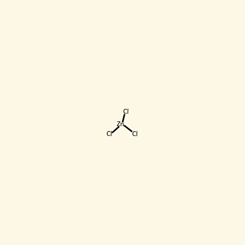 [Cl][Zn]([Cl])[Cl]